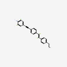 CCCc1ccc(C(F)=C(F)c2ccc(C#Cc3cc(F)c(N)c(F)c3)cc2)cc1